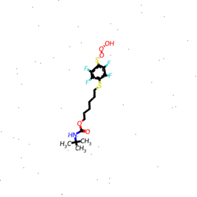 CC(C)(C)NC(=O)OCCCCCCSc1c(F)c(F)c(SOOO)c(F)c1F